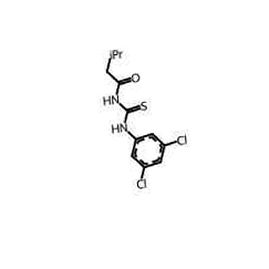 CC(C)CC(=O)NC(=S)Nc1cc(Cl)cc(Cl)c1